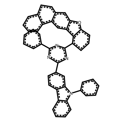 c1ccc(-c2nc(-c3ccc4c5ccccc5n(-c5ccccc5)c4c3)nc(-c3cccc4oc5cc6ccc7ccccc7c6cc5c34)n2)cc1